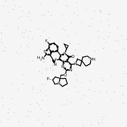 N#Cc1c(N)sc2c(F)ccc(-c3c(F)c4nc(OC[C@@]56CCCN5C[C@H](F)C6)nc(N5CC6(CCNCC6)C5)c4c(=O)n3C3CC3)c12